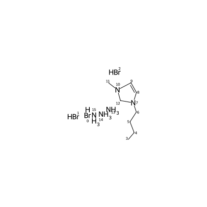 Br.Br.Br.CCCCN1C=CN(C)C1.N.N.N